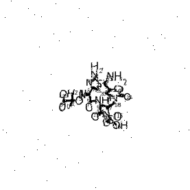 CC(C)(O/N=C(\C(=O)NC1C(=O)N(S(=O)(=O)O)C1CN1CC(CN)OC1=O)c1csc(N)n1)C(=O)O